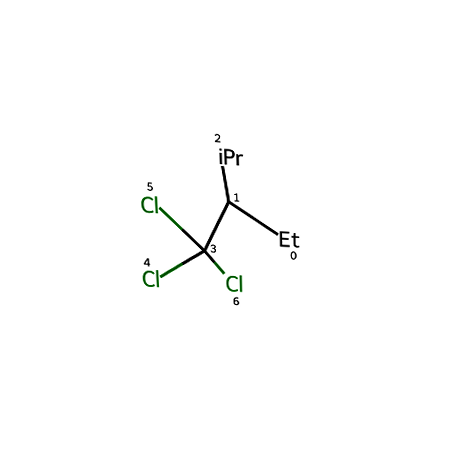 CCC(C(C)C)C(Cl)(Cl)Cl